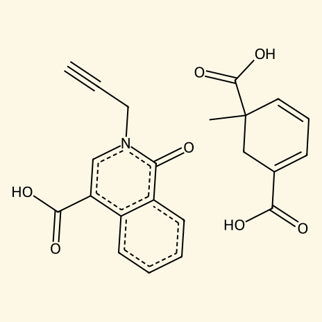 C#CCn1cc(C(=O)O)c2ccccc2c1=O.CC1(C(=O)O)C=CC=C(C(=O)O)C1